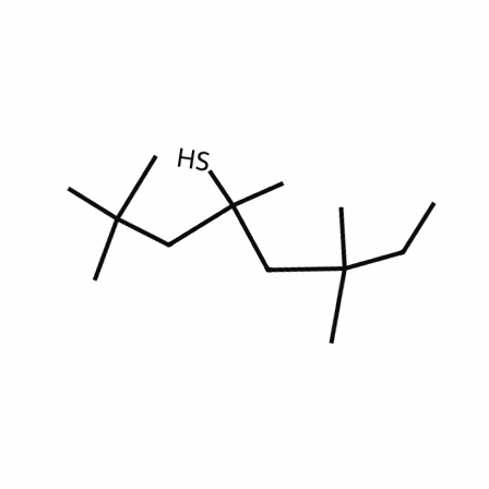 CCC(C)(C)CC(C)(S)CC(C)(C)C